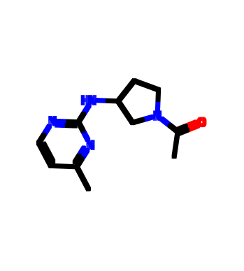 CC(=O)N1CCC(Nc2nccc(C)n2)C1